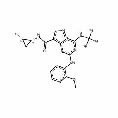 [2H]C([2H])([2H])Nc1cc(Nc2cccnc2OC)nc2c(C(=O)N[C@@H]3C[C@@H]3F)cnn12